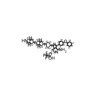 Nc1ncnc2c1c(-c1ccc(Oc3ccccc3)cc1)nn2C1CCN(C2C[C@@H]3CN(C4C[C@H]5CNC[C@H]5C4)C[C@@H]3C2)CC1.O=C(O)C(F)(F)F